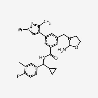 Cc1cc([C@@H](NC(=O)c2cc(CN3CCOC3N)cc(-c3cn(C(C)C)nc3C(F)(F)F)c2)C2CC2)ccc1F